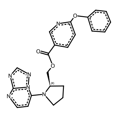 O=C(OC[C@H]1CCCN1c1ccnc2ncnn12)c1ccc(Oc2ccccc2)nc1